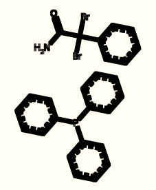 NC(=O)C(Br)(Br)c1ccccc1.c1ccc(P(c2ccccc2)c2ccccc2)cc1